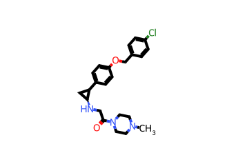 CN1CCN(C(=O)CN[C@H]2CC2c2ccc(OCc3ccc(Cl)cc3)cc2)CC1